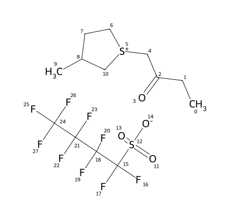 CCC(=O)C[S+]1CCC(C)C1.O=S(=O)([O-])C(F)(F)C(F)(F)C(F)(F)C(F)(F)F